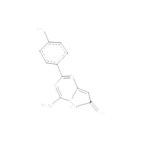 C=C1C=C2N=C(c3ccc(C(C)(C)C)cc3)N=C(NC)N2N1